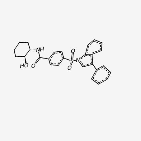 O=C(N[C@H]1CCCC[C@@H]1O)c1ccc(S(=O)(=O)n2cc(-c3ccccc3)c3ccccc32)cc1